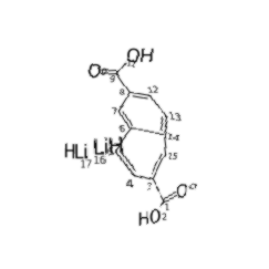 O=C(O)c1ccc2cc(C(=O)O)ccc2c1.[LiH].[LiH]